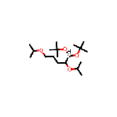 CC(C)OCCCC(OC(C)C)[SiH](OC(C)(C)C)OC(C)(C)C